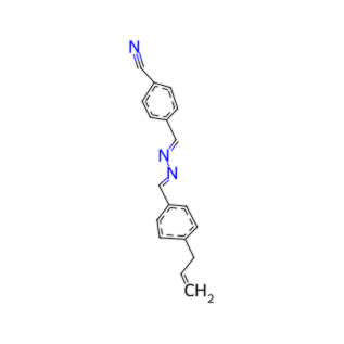 C=CCc1ccc(/C=N/N=C/c2ccc(C#N)cc2)cc1